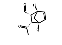 CC(=O)[C@@H]1[C@H](C=O)[C@@H]2C=C[C@H]1C2